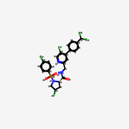 O=C(NCc1cc(-c2ccc(C(F)F)cc2)c(F)cn1)[C@@H]1C[C@@H](F)CN1S(=O)(=O)c1ccc(F)cc1